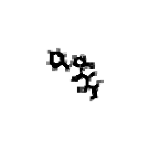 C/C=C(/F)[C@@H](O)[C@H](C)C(=O)N1C(=O)OC[C@H]1Cc1ccccc1